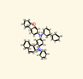 c1ccc(-c2cccc(N(c3ccc4c(c3)oc3ccccc34)c3ccc4c(c3)c3c5ccccc5ccc3n4-c3ccccc3)c2)cc1